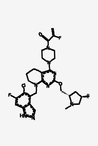 C=C(F)C(=O)N1CCN(c2nc(OC[C@@H]3C[C@@H](F)CN3C)nc3c2CCCN3Cc2c(Cl)c(F)cc3[nH]ncc23)CC1